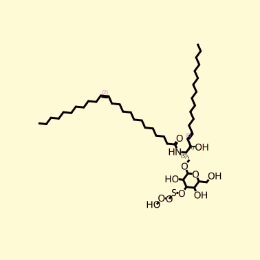 CCCCCCCCCC/C=C\CCCCCCCCCCCC(=O)N[C@@H](COC1OC(CO)C(O)C(OSOOO)C1O)[C@H](O)/C=C/CCCCCCCCCCCCC